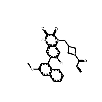 C=CC(=O)N1CC(Cn2c(=O)c(=O)[nH]c3cc(-c4cc(OC)cc5ccccc45)c(Cl)cc32)C1